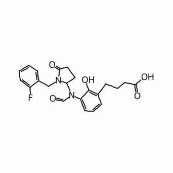 O=CN(c1cccc(CCCC(=O)O)c1O)C1CCC(=O)N1Cc1ccccc1F